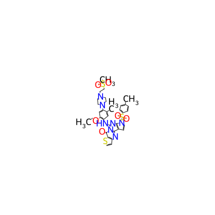 CCOc1cc(N2CCN(CCS(C)(=O)=O)CC2)c(C)cc1Nc1nc2c(ccn2S(=O)(=O)c2ccc(C)cc2)c2nc3ccsc3c(=O)n12